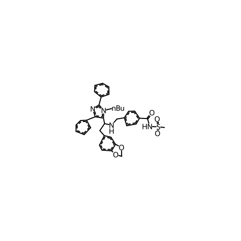 CCCCn1c(-c2ccccc2)nc(-c2ccccc2)c1C(Cc1ccc2c(c1)OCO2)NCc1ccc(C(=O)NS(C)(=O)=O)cc1